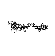 CC1(C)C(NC(=O)c2cnc(N3CCC(CN4CCN(c5ccc6c(c5)CN([C@H]5CCC(=O)NC5=O)C6=O)CC4)CC3)nc2)C2(C)c3ccnc4c(C#N)ccc(c34)O[C@@H]12